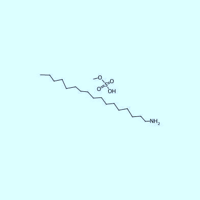 CCCCCCCCCCCCCCCCCN.COS(=O)(=O)O